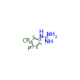 N=C(N)Nc1ccc(F)c(Cl)c1